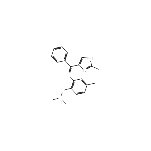 Cc1ccc(O[SiH](C)C)c(N=C(c2ccccc2)c2c[nH]c(C)n2)c1